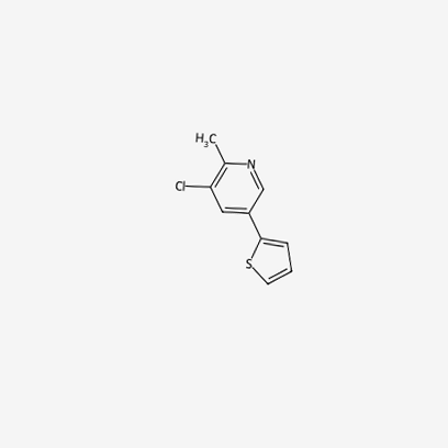 Cc1ncc(-c2cccs2)cc1Cl